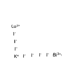 [Bi+3].[I-].[I-].[I-].[I-].[I-].[I-].[I-].[K+].[Lu+3]